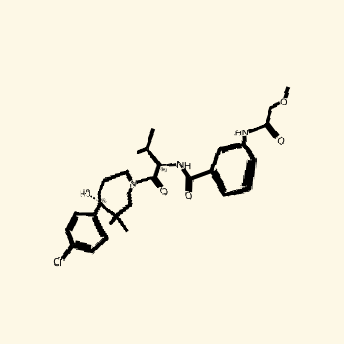 COCC(=O)Nc1cccc(C(=O)N[C@@H](C(=O)N2CC[C@](O)(c3ccc(Cl)cc3)C(C)(C)C2)C(C)C)c1